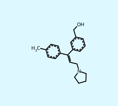 Cc1ccc(C(=CCN2CCCC2)c2cccc(CO)c2)cc1